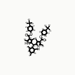 Cc1cc(C)c(C(c2[nH]c(C)c(C(=O)Oc3ccc(C(C)(C)C)cc3)c2C)c2[nH]c(C)c(C(=O)Oc3ccc(C(C)(C)C)cc3)c2C)c(C)c1